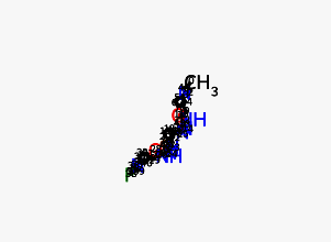 CC1CN(c2cccc(CC(=O)Nc3nnc([C@H]4CCC[C@H](c5nnc(NC(=O)Cc6cccc(N7CC(F)C7)c6)s5)C4)s3)c2)C1